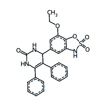 CCOc1cc(C2NC(=O)NC(c3ccccc3)=C2c2ccccc2)cc2c1OS(=O)(=O)N2